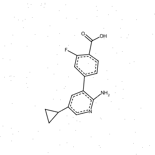 Nc1ncc(C2CC2)cc1-c1ccc(C(=O)O)c(F)c1